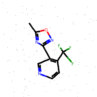 Cc1nc(-c2cnccc2C(F)(F)F)no1